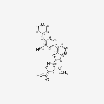 COc1cc(C(=O)O)cnc1-c1cc2nccc(-c3ccc(OC4CCOCC4)c(C#N)c3)c2o1